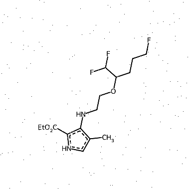 CCOC(=O)c1[nH]cc(C)c1NCCOC(CCCF)C(F)F